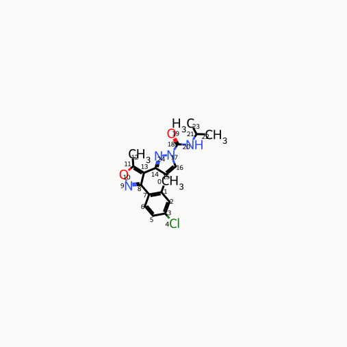 Cc1cc(Cl)ccc1-c1noc(C)c1-c1ccn(C(=O)NC(C)C)n1